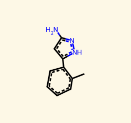 Cc1ccccc1-c1cc(N)n[nH]1